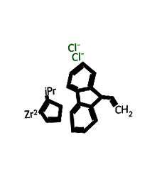 C=CC1c2ccccc2-c2ccccc21.CC(C)C1=CC=CC1.[Cl-].[Cl-].[Zr+2]